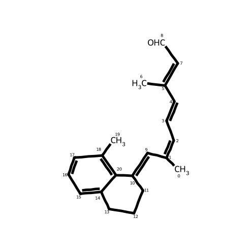 CC(=C/C=C/C(C)=C/C=O)/C=C1\CCCc2cccc(C)c21